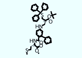 COC(=O)[C@H](CCSC)NC(=O)c1ccc(NC[C@@H](CSC(c2ccccc2)(c2ccccc2)c2ccccc2)C(=O)OC(C)(C)C)cc1-c1ccccc1